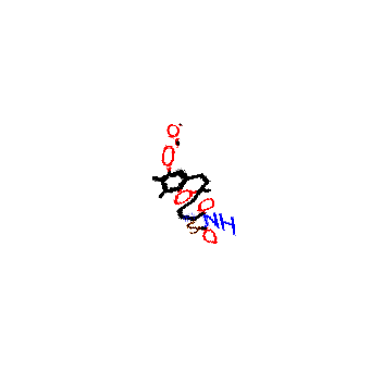 COCOc1cc2c(c(C)c1C)OC(C)(CC/C=C1/SC(=O)NC1=O)CC2